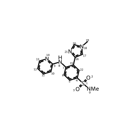 CNS(=O)(=O)c1ccc(Nc2ccccn2)c(-c2cn(C)cn2)c1